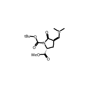 COC(=O)[C@H]1C/C(=C/N(C)C)C(=O)N1C(=O)OC(C)(C)C